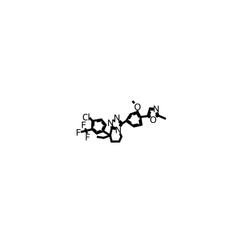 CCC1(c2ccc(Cl)c(C(F)(F)F)c2)CCCn2c(-c3ccc(-c4cnc(C)o4)c(OC)c3)nnc21